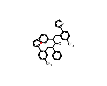 O=C(C(Cc1cc(C(F)(F)F)ccc1-c1cccs1)c1ccccc1)C(Cc1cc(C(F)(F)F)ccc1-c1cccs1)c1ccccc1